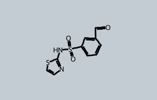 O=Cc1cccc(S(=O)(=O)Nc2nccs2)c1